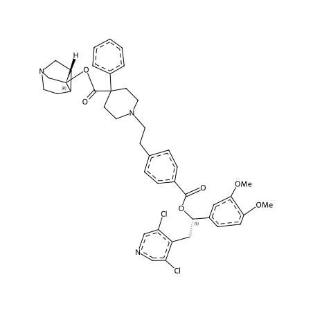 COc1ccc([C@H](Cc2c(Cl)cncc2Cl)OC(=O)c2ccc(CCN3CCC(C(=O)O[C@H]4CN5CCC4CC5)(c4ccccc4)CC3)cc2)cc1OC